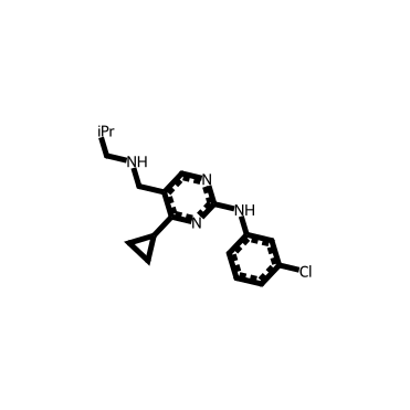 CC(C)CNCc1cnc(Nc2cccc(Cl)c2)nc1C1CC1